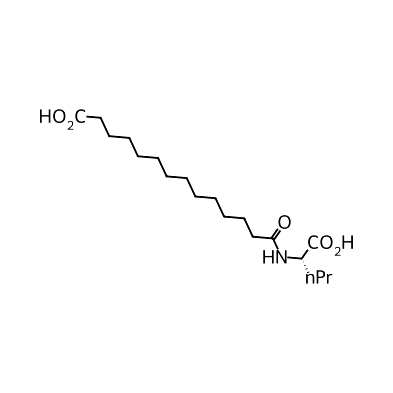 CCC[C@H](NC(=O)CCCCCCCCCCCCC(=O)O)C(=O)O